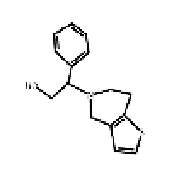 OCC(c1ccccc1)N1CCc2sccc2C1